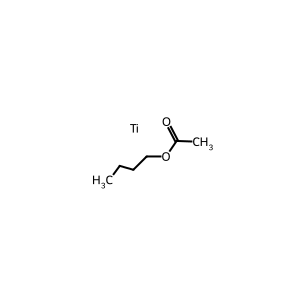 CCCCOC(C)=O.[Ti]